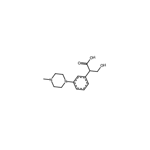 CN1CCN(c2cccc(C(CO)C(=O)O)c2)CC1